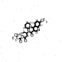 O=CCC(CC(=O)OC(=O)C(F)(F)F)NC(=O)c1cnc2cc(C(F)(F)F)ccc2c1N1CCCCC1